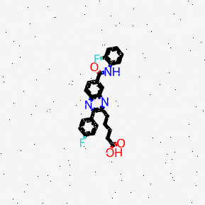 O=C(O)CCCCc1nc2cc(C(=O)Nc3ccccc3F)ccc2nc1-c1ccc(F)cc1